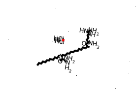 CCCCCCCCCCCCN(CCCCCCCCCCCCC(C)C(=O)[C@@H](N)CCCNC(=N)N)C(=O)C(N)CN.Cl.Cl.Cl